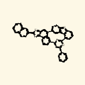 c1ccc(-c2nc(-c3ccccc3)nc(-c3cccc4oc5ccc(-c6ccc7nc(-c8ccc9ccccc9c8)oc7c6)cc5c34)n2)cc1